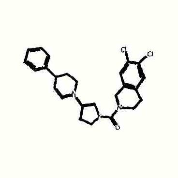 O=C(N1CCc2cc(Cl)c(Cl)cc2C1)N1CCC(N2CCC(c3ccccc3)CC2)C1